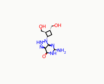 NC1N=C2C(=NNN2[C@H]2C[C@@H](CO)[C@@H]2CO)C(=O)N1